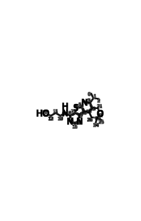 CC(C)c1nc2sc3c(NCCCO)ncnc3c2c2c1COC(C)(C)C2